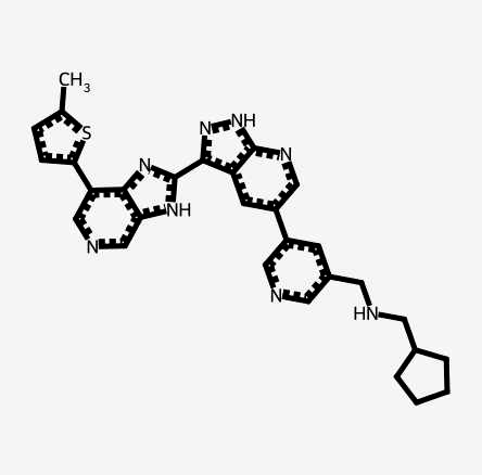 Cc1ccc(-c2cncc3[nH]c(-c4n[nH]c5ncc(-c6cncc(CNCC7CCCC7)c6)cc45)nc23)s1